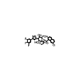 O=C(N[C@@H]1CCO[C@]12O[C@H](CO)[C@H](O)[C@H](n1cc(-c3cc(F)c(F)c(F)c3)nn1)[C@H]2O)c1cccc2ccc(Cl)cc12